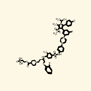 Cc1cc(S(=O)(=O)Nc2ccc(N3CCN(c4cc(F)cc(-c5c(S(C)(=O)=O)c(C)n(C(C)C)c5-c5ccc(Cl)cc5)c4)CC3)cc2)ccc1N[C@H](CCN1CCC(C(=O)OCCP(=O)(O)O)CC1)CSc1ccccc1F